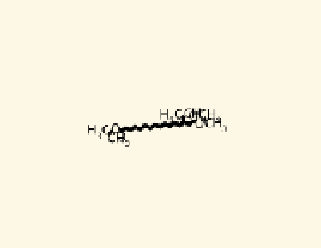 CC(C)OC(=O)CCCCCCCCCCCCC(CC(=O)OC(C)C)C(C)C